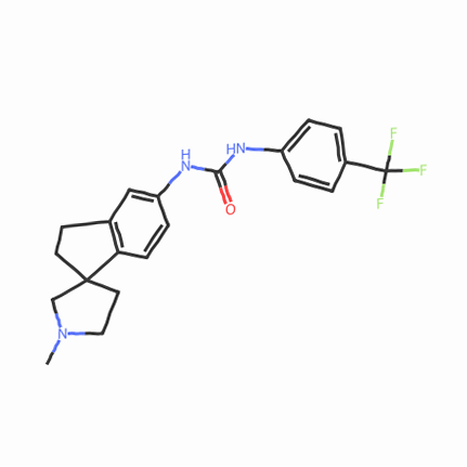 CN1CCC2(CCc3cc(NC(=O)Nc4ccc(C(F)(F)F)cc4)ccc32)C1